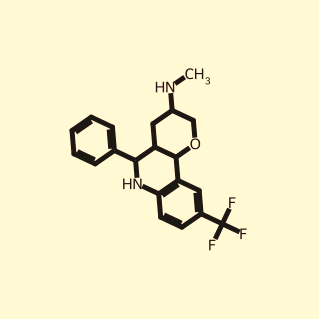 CNC1COC2c3cc(C(F)(F)F)ccc3NC(c3ccccc3)C2C1